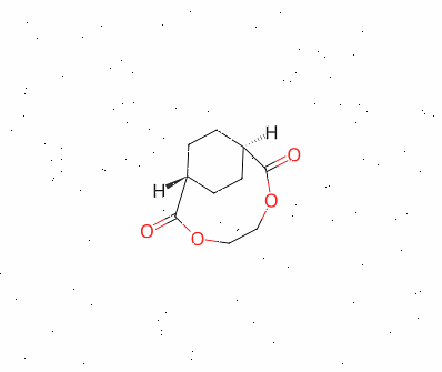 O=C1OCCOC(=O)[C@H]2CC[C@H]1CC2